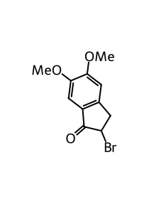 COc1cc2c(cc1OC)C(=O)C(Br)C2